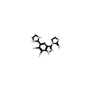 O=C1SCCN1c1noc2c(F)c(F)c(C3OCCO3)cc12